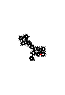 c1ccc(-c2ccc(N(c3ccc(-c4ccc5c(c4)c4cccc6c4n5-c4ccccc4-c4ccccc4-6)cc3)c3ccc4c(c3)C(c3ccccc3)(c3ccccc3)c3ccccc3-4)cc2)cc1